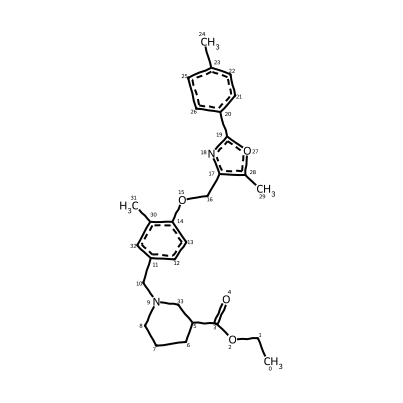 CCOC(=O)C1CCCN(Cc2ccc(OCc3nc(-c4ccc(C)cc4)oc3C)c(C)c2)C1